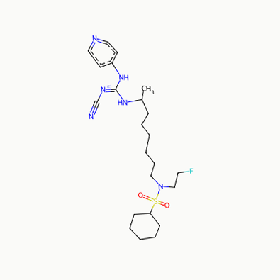 CC(CCCCCCN(CCF)S(=O)(=O)C1CCCCC1)N/C(=N\C#N)Nc1ccncc1